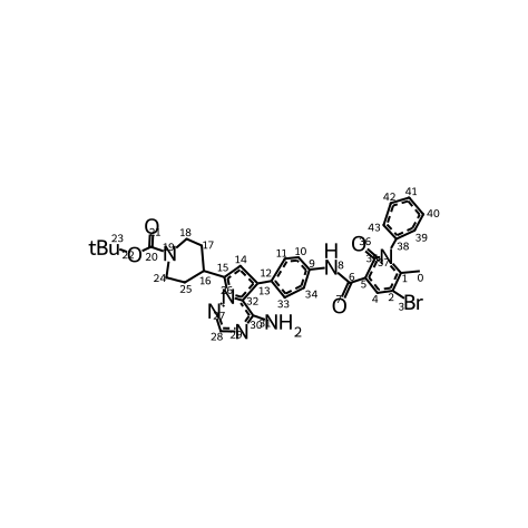 Cc1c(Br)cc(C(=O)Nc2ccc(-c3cc(C4CCN(C(=O)OC(C)(C)C)CC4)n4ncnc(N)c34)cc2)c(=O)n1-c1ccccc1